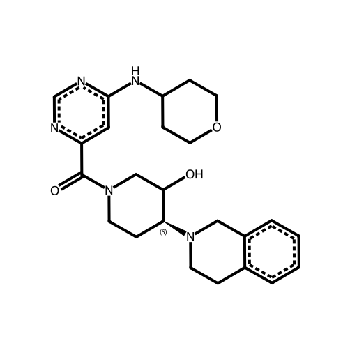 O=C(c1cc(NC2CCOCC2)ncn1)N1CC[C@H](N2CCc3ccccc3C2)C(O)C1